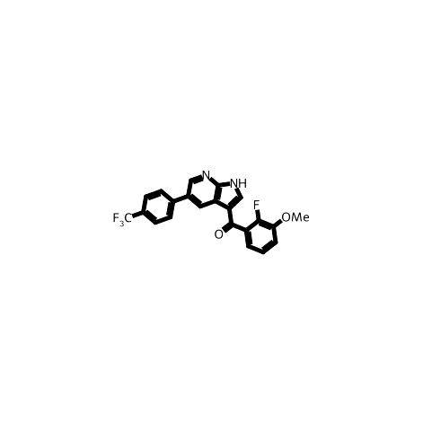 COc1cccc(C(=O)c2c[nH]c3ncc(-c4ccc(C(F)(F)F)cc4)cc23)c1F